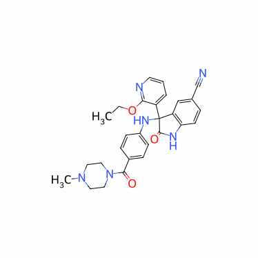 CCOc1ncccc1C1(Nc2ccc(C(=O)N3CCN(C)CC3)cc2)C(=O)Nc2ccc(C#N)cc21